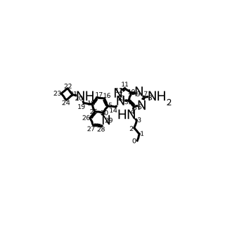 CCCCNc1nc(N)nc2cnn(Cc3ccc(CNC4CCC4)c4cccnc34)c12